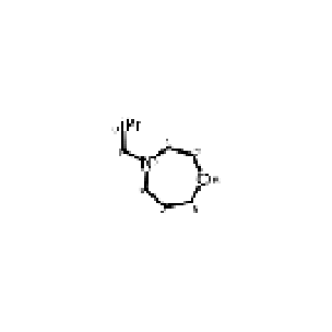 CC(C)CN1CCCOCC1